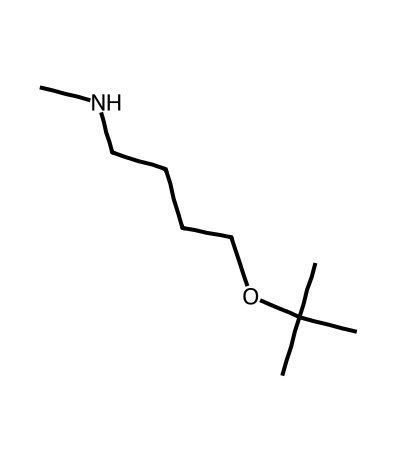 CNCCCCOC(C)(C)C